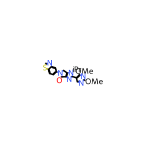 COc1ncc(-c2nc3c(n2C(C)C)CN(c2ccc4scnc4c2)C3=O)c(OC)n1